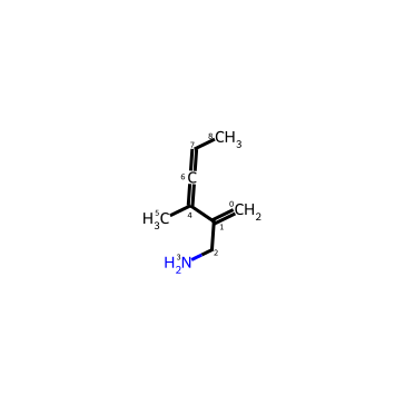 C=C(CN)C(C)=C=CC